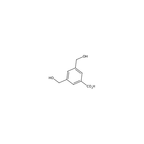 O=C(O)c1cc(CO)cc(CO)c1